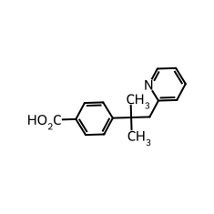 CC(C)(Cc1ccccn1)c1ccc(C(=O)O)cc1